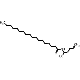 C=CCOC(C)NC(=O)CCCCCCCCCCCCCCCCC